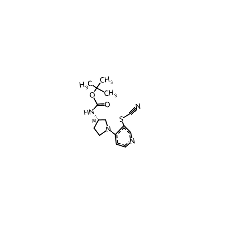 CC(C)(C)OC(=O)N[C@H]1CCN(c2ccncc2SC#N)C1